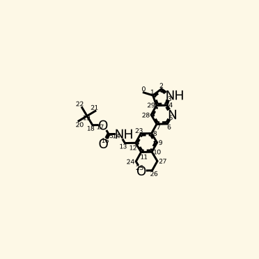 Cc1c[nH]c2ncc(-c3cc4c(c(CNC(=O)OCC(C)(C)C)c3)COCC4)cc12